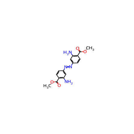 COC(=O)c1ccc(N=Nc2ccc(C(=O)OC)c(N)c2)cc1N